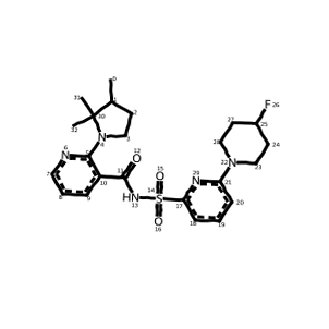 CC1CCN(c2ncccc2C(=O)NS(=O)(=O)c2cccc(N3CCC(F)CC3)n2)C1(C)C